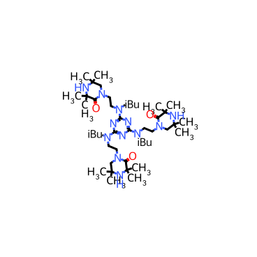 CCC(C)N(CCN1CC(C)(C)NC(C)(C)C1=O)c1nc(N(CCN2CC(C)(C)NC(C)(C)C2=O)C(C)CC)nc(N(CCN2CC(C)(C)NC(C)(C)C2=O)C(C)CC)n1